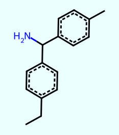 CCc1ccc(C(N)c2ccc(C)cc2)cc1